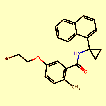 Cc1ccc(OCCBr)cc1C(=O)NC1(c2cccc3ccccc23)CC1